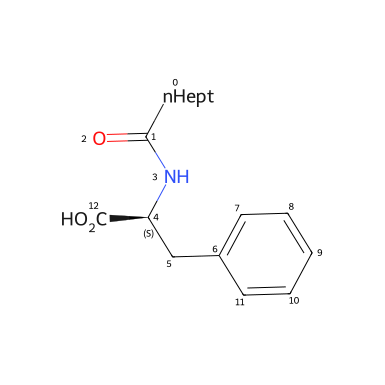 CCCCCCCC(=O)N[C@@H](Cc1ccccc1)C(=O)O